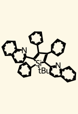 CC(C)(C)[Si]1(c2ccccc2)C(c2ccc3ccccc3n2)=C(c2ccccc2)C(c2ccccc2)=C1c1ccc2ccccc2n1